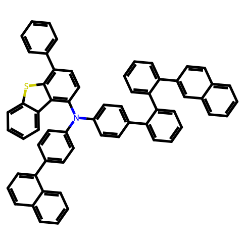 c1ccc(-c2ccc(N(c3ccc(-c4ccccc4-c4ccccc4-c4ccc5ccccc5c4)cc3)c3ccc(-c4cccc5ccccc45)cc3)c3c2sc2ccccc23)cc1